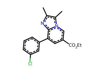 CCOC(=O)c1cc(-c2cccc(Cl)c2)c2nc(C)c(C)n2c1